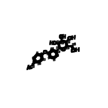 CC(=O)c1ccc(Oc2cccc([C@H]3O[C@H](CO)[C@@H](O)[C@H](O)[C@@H]3O)c2)cc1